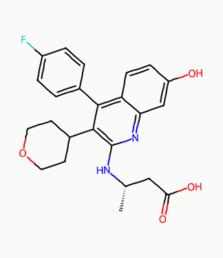 C[C@@H](CC(=O)O)Nc1nc2cc(O)ccc2c(-c2ccc(F)cc2)c1C1CCOCC1